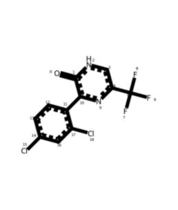 O=c1[nH]cc(C(F)(F)F)nc1-c1ccc(Cl)cc1Cl